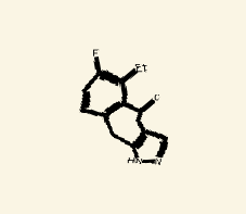 CCc1c(F)ccc2c1C(=O)c1cn[nH]c1C2